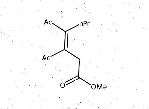 CCC/C(C(C)=O)=C(\CC(=O)OC)C(C)=O